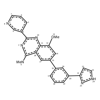 CNc1nc(-c2cccnc2)nc2c(OC)cc(-c3cccc(-c4cc[nH]n4)c3)cc12